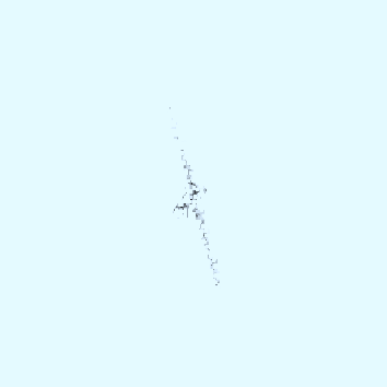 CCCCCCCCCCCCCCCCCCOC(=O)C(CCCCCCCCCCCCCCCCCC)OCCO